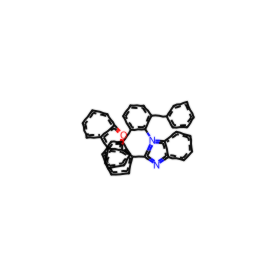 c1ccc(-c2cccc(-c3ccccc3)c2-n2c(-c3cccc4c3oc3ccccc34)nc3ccccc32)cc1